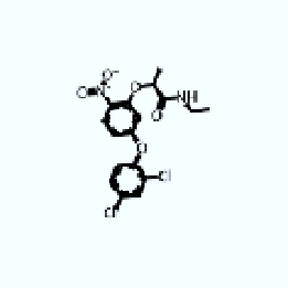 CCNC(=O)C(C)Oc1cc(Oc2ccc(Cl)cc2Cl)ccc1[N+](=O)[O-]